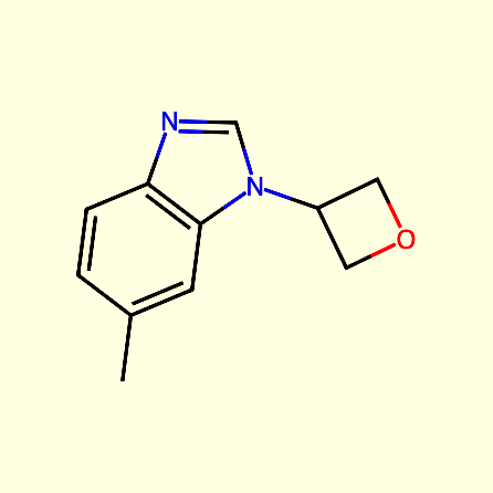 Cc1ccc2ncn(C3COC3)c2c1